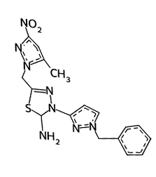 Cc1cc([N+](=O)[O-])nn1CC1=NN(c2ccn(Cc3ccccc3)n2)C(N)S1